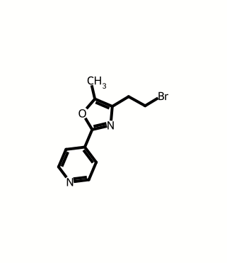 Cc1oc(-c2ccncc2)nc1CCBr